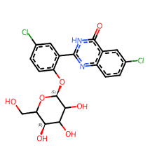 O=c1[nH]c(-c2cc(Cl)ccc2O[C@@H]2OC(CO)[C@H](O)C(O)C2O)nc2ccc(Cl)cc12